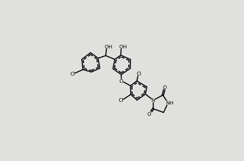 O=C1CNC(=O)N1c1cc(Cl)c(Oc2ccc(O)c(C(O)c3ccc(Cl)cc3)c2)c(Cl)c1